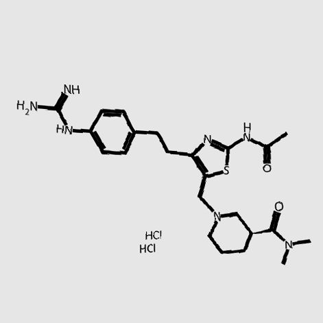 CC(=O)Nc1nc(CCc2ccc(NC(=N)N)cc2)c(CN2CCC[C@H](C(=O)N(C)C)C2)s1.Cl.Cl